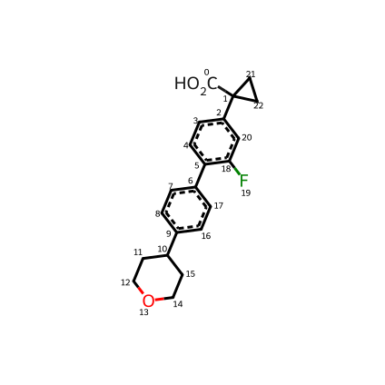 O=C(O)C1(c2ccc(-c3ccc(C4CCOCC4)cc3)c(F)c2)CC1